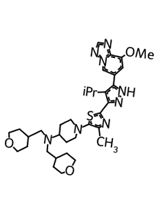 COc1cc(-c2[nH]nc(-c3nc(C)c(N4CCC(N(CC5CCOCC5)CC5CCOCC5)CC4)s3)c2C(C)C)cn2ncnc12